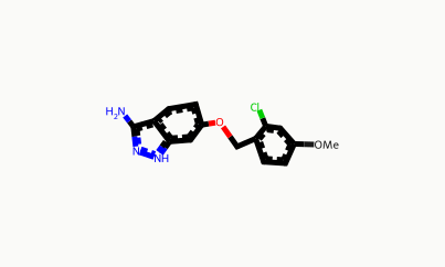 COc1ccc(COc2ccc3c(N)n[nH]c3c2)c(Cl)c1